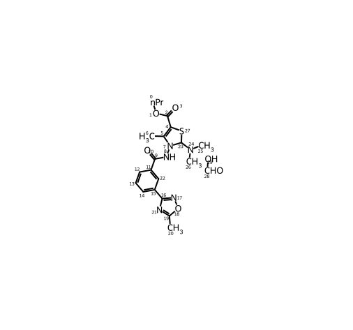 CCCOC(=O)C1=C(C)N(NC(=O)c2cccc(-c3noc(C)n3)c2)C(N(C)C)S1.O=CO